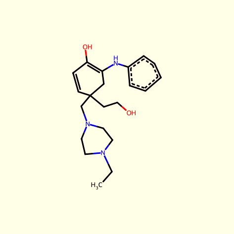 CCN1CCN(CC2(CCO)C=CC(O)=C(Nc3ccccc3)C2)CC1